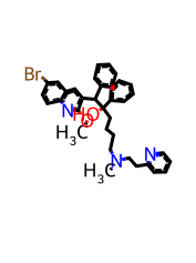 COc1nc2ccc(Br)cc2cc1C(c1ccccc1)C(O)(CCCCN(C)CCc1ccccn1)c1ccccc1